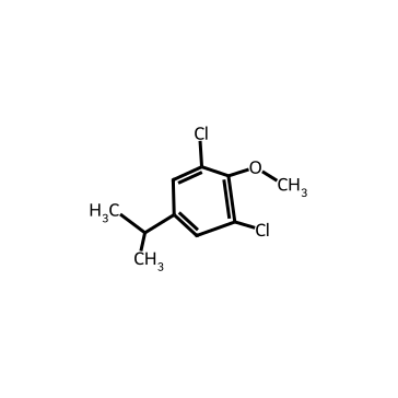 COc1c(Cl)cc(C(C)C)cc1Cl